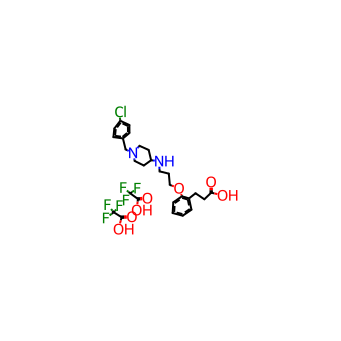 O=C(O)C(F)(F)F.O=C(O)C(F)(F)F.O=C(O)CCc1ccccc1OCCCNC1CCN(Cc2ccc(Cl)cc2)CC1